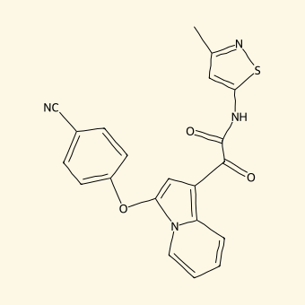 Cc1cc(NC(=O)C(=O)c2cc(Oc3ccc(C#N)cc3)n3ccccc23)sn1